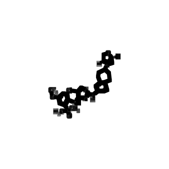 CP(C)(=O)c1cc(OC(F)(F)F)ccc1Nc1nc(Nc2ccc3c(c2)CCC(N2C[C@H]4C[C@@H]2CO4)CC3)ncc1Cl